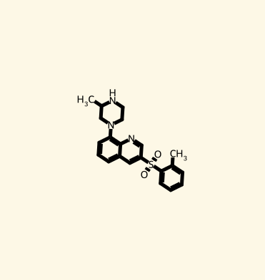 Cc1ccccc1S(=O)(=O)c1cnc2c(N3CCNC(C)C3)cccc2c1